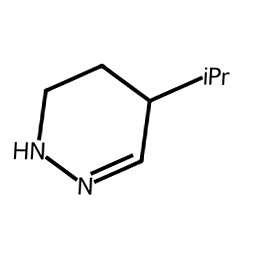 CC(C)C1C=NNCC1